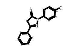 O=C1CC(c2ccccc2)=NN1c1ccc(Cl)cc1